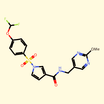 COc1ncc(CNC(=O)c2ccn(S(=O)(=O)c3ccc(OC(F)F)cc3)c2)cn1